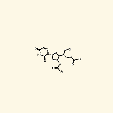 CC(C)C(=O)OC[C@@H](CCl)C1O[C@@H](n2ncc(=O)[nH]c2=O)C[C@@H]1OC(=O)C(C)C